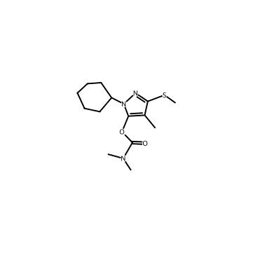 CSc1nn(C2CCCCC2)c(OC(=O)N(C)C)c1C